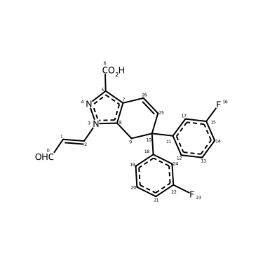 O=CC=Cn1nc(C(=O)O)c2c1CC(c1cccc(F)c1)(c1cccc(F)c1)C=C2